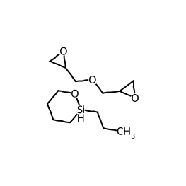 C(OCC1CO1)C1CO1.CCC[SiH]1CCCCO1